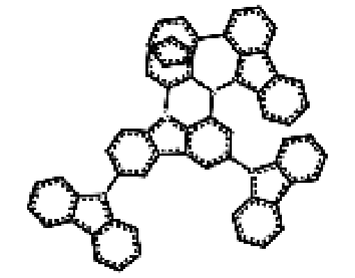 c1ccc(-c2cccc3c4ccccc4n(B4c5ccccc5-n5c6ccc(-n7c8ccccc8c8ccccc87)cc6c6cc(-n7c8ccccc8c8ccccc87)cc4c65)c23)cc1